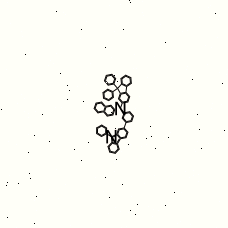 c1ccc(-n2c3ccccc3c3ccc(-c4cccc(N(c5ccc6c(c5)C(c5ccccc5)(c5ccccc5)c5ccccc5-6)c5ccc6ccccc6c5)c4)cc32)cc1